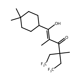 C/C(C(=O)C(C)(CC(F)(F)F)CC(F)(F)F)=C(/O)C1CCC(C)(C)CC1